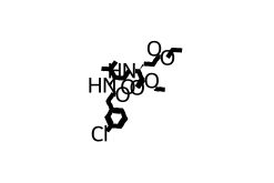 CCOC(=O)CC[C@@H](NC(=O)[C@@H](NC(=O)Cc1cccc(Cl)c1)C(C)C)C(=O)OCC